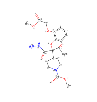 CC(=O)OC(=O)C(Oc1ccccc1OCC(=O)OC(C)(C)C)(C(=O)NN)C1CCN(C(=O)OC(C)(C)C)CC1